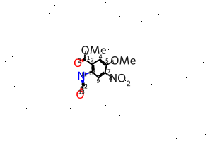 COC(=O)c1cc(OC)c([N+](=O)[O-])cc1N=C=O